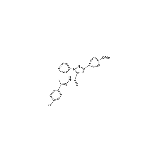 COc1ccc(-c2cc(C(=O)N/N=C(\C)c3ccc(Cl)cc3)n(-c3ccccc3)n2)cc1